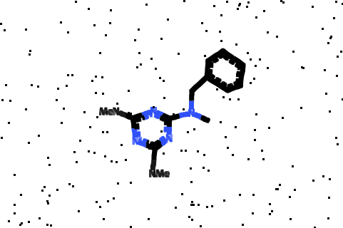 CNc1nc(NC)nc(N(C)Cc2ccccc2)n1